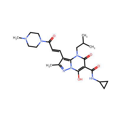 Cc1nn2c(O)c(C(=O)NC3CC3)c(=O)n(CC(C)C)c2c1C=CC(=O)N1CCN(C)CC1